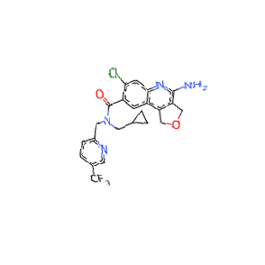 Nc1nc2cc(Cl)c(C(=O)N(Cc3ccc(C(F)(F)F)cn3)CC3CC3)cc2c2c1COC2